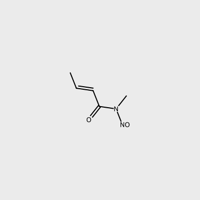 CC=CC(=O)N(C)N=O